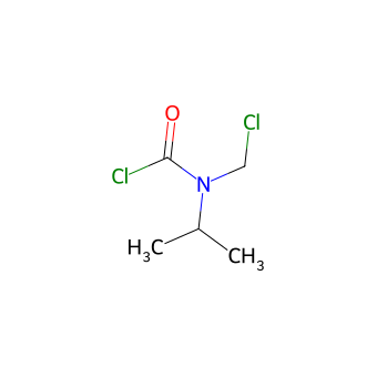 CC(C)N(CCl)C(=O)Cl